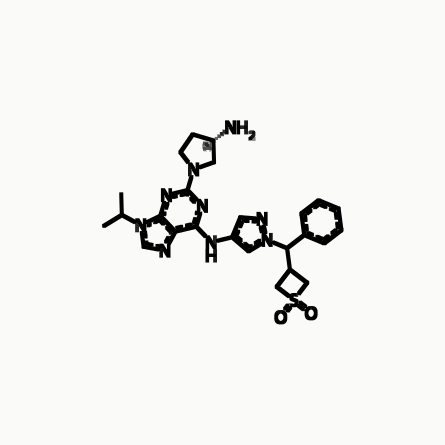 CC(C)n1cnc2c(Nc3cnn(C(c4ccccc4)C4CS(=O)(=O)C4)c3)nc(N3CC[C@H](N)C3)nc21